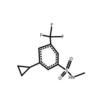 CNS(=O)(=O)c1cc(C2CC2)cc(C(F)(F)F)c1